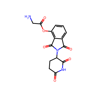 NCC(=O)Oc1cccc2c1C(=O)N(C1CCC(=O)NC1=O)C2=O